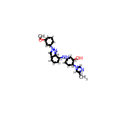 COc1cccc(-n2cc3cccc(Nc4ccc(-n5cnc(C)c5)c(O)c4)c3n2)c1